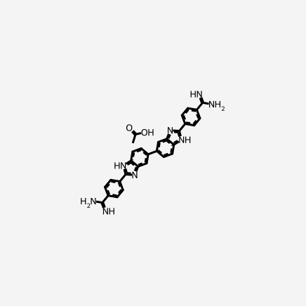 CC(=O)O.N=C(N)c1ccc(-c2nc3cc(-c4ccc5[nH]c(-c6ccc(C(=N)N)cc6)nc5c4)ccc3[nH]2)cc1